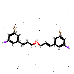 Brc1cc(I)cc(C=CCOCC=Cc2cc(Br)cc(I)c2)c1